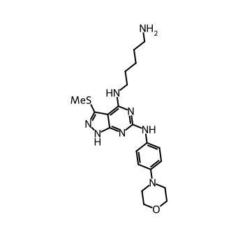 CSc1n[nH]c2nc(Nc3ccc(N4CCOCC4)cc3)nc(NCCCCCN)c12